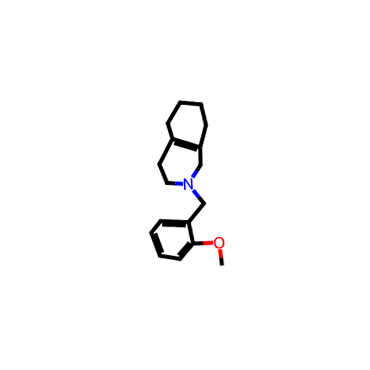 COc1ccccc1CN1CCC2=C(CCCC2)C1